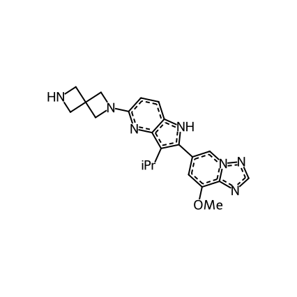 COc1cc(-c2[nH]c3ccc(N4CC5(CNC5)C4)nc3c2C(C)C)cn2ncnc12